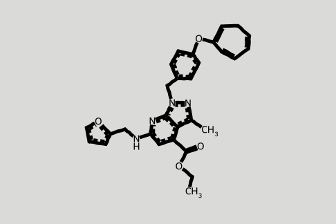 CCOC(=O)c1cc(NCc2ccco2)nc2c1c(C)nn2Cc1ccc(OC2=CCC=CC=C2)cc1